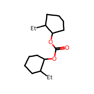 CCC1CCCCC1OC(=O)OC1CCCCC1CC